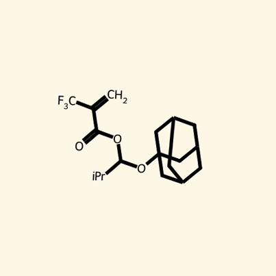 C=C(C(=O)OC(OC12CC3CC(CC(C3)C1)C2)C(C)C)C(F)(F)F